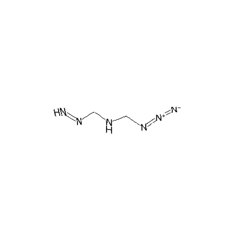 [N-]=[N+]=NCNCN=N